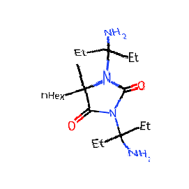 CCCCCCC1(C)C(=O)N(C(N)(CC)CC)C(=O)N1C(N)(CC)CC